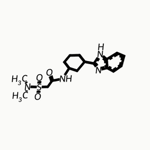 CN(C)S(=O)(=O)CC(=O)NC1CCCC(c2nc3ccccc3[nH]2)C1